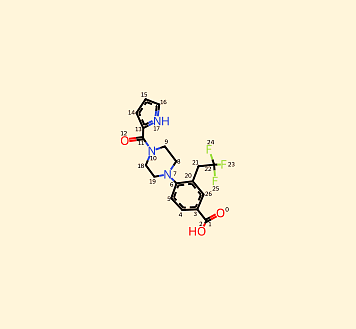 O=C(O)c1ccc(N2CCN(C(=O)c3ccc[nH]3)CC2)c(CC(F)(F)F)c1